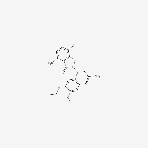 CCOc1cc(C(CC(N)=O)N2Cc3c(Cl)ccc(N)c3C2=O)ccc1OC